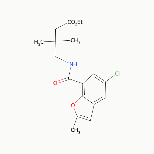 CCOC(=O)CC(C)(C)CNC(=O)c1cc(Cl)cc2cc(C)oc12